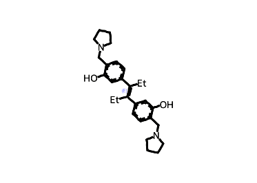 CC/C(=C(/CC)c1ccc(CN2CCCC2)c(O)c1)c1ccc(CN2CCCC2)c(O)c1